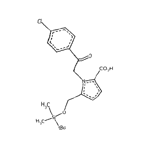 CC(C)(C)[Si](C)(C)OCc1ccc(C(=O)O)n1CC(=O)c1ccc(Cl)cc1